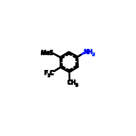 CSc1cc(N)cc(C)c1C(F)(F)F